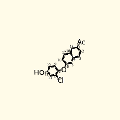 CC(=O)c1ccc2cc(Oc3ccc(O)cc3Cl)ccc2c1